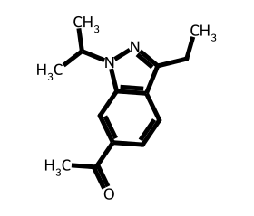 CCc1nn(C(C)C)c2cc(C(C)=O)ccc12